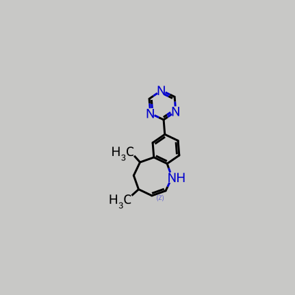 CC1/C=C\Nc2ccc(-c3ncncn3)cc2C(C)C1